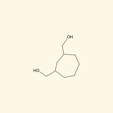 OCC1CCCCC(CO)C1